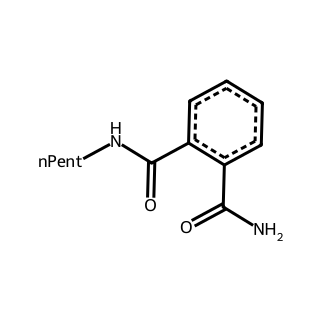 CCCCCNC(=O)c1ccccc1C(N)=O